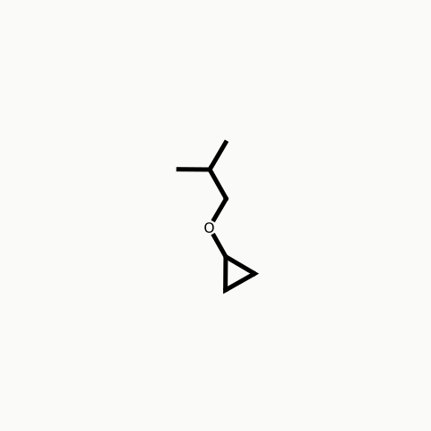 C[C](C)COC1CC1